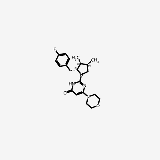 C[C@@H]1[C@@H](Cc2ccc(F)cc2)N(c2nc(N3CCOCC3)cc(=O)[nH]2)C[C@@H]1C